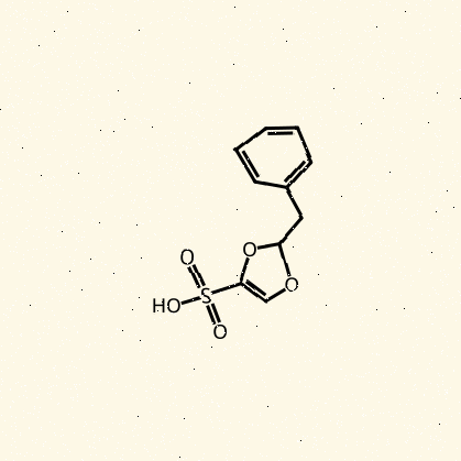 O=S(=O)(O)C1=COC(Cc2ccccc2)O1